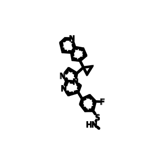 CNSc1ccc(-c2cnc3ncc(C4(c5ccc6ncccc6c5)CC4)n3c2)cc1F